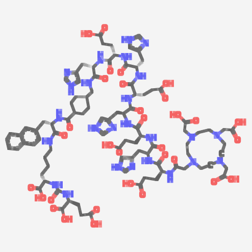 O=C(O)CC[C@H](NC(=O)N[C@@H](CCCCNC(=O)[C@H](Cc1ccc2ccccc2c1)NC(=O)C1CCC(CNC(=O)[C@H](Cc2c[nH]cn2)NC(=O)[C@H](CCC(=O)O)NC(=O)[C@H](Cc2c[nH]cn2)NC(=O)[C@H](CCC(=O)O)NC(=O)[C@H](Cc2c[nH]cn2)NC(=O)[C@H](CCC(=O)O)NC(=O)C(Cc2c[nH]cn2)NC(=O)[C@H](CCC(=O)O)NC(=O)CN2CCN(CC(=O)O)CCN(CC(=O)O)CCN(CC(=O)O)CC2)CC1)C(=O)O)C(=O)O